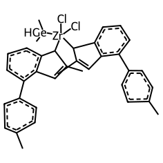 CC1=Cc2c(-c3ccc(C)cc3)cccc2[CH]1[Zr]([Cl])([Cl])([CH]1C(C)=Cc2c(-c3ccc(C)cc3)cccc21)[GeH]([CH3])[CH3]